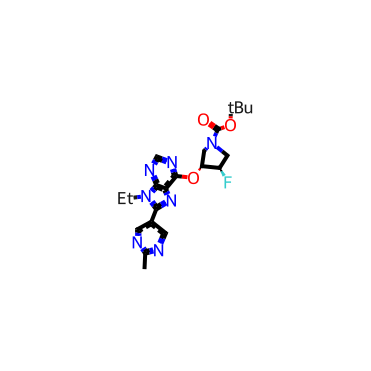 CCn1c(-c2cnc(C)nc2)nc2c(O[C@@H]3CN(C(=O)OC(C)(C)C)C[C@H]3F)ncnc21